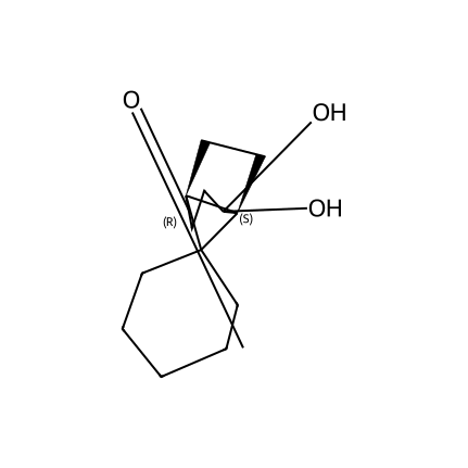 O=C1CC(O)(O)[C@]23CC[C@]12C31CCCCC1